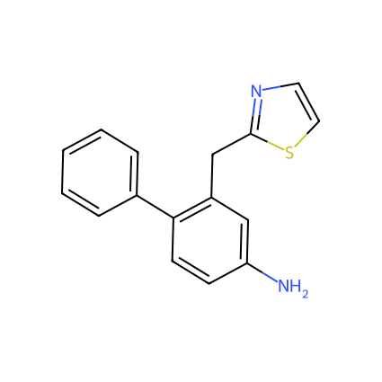 Nc1ccc(-c2ccccc2)c(Cc2nccs2)c1